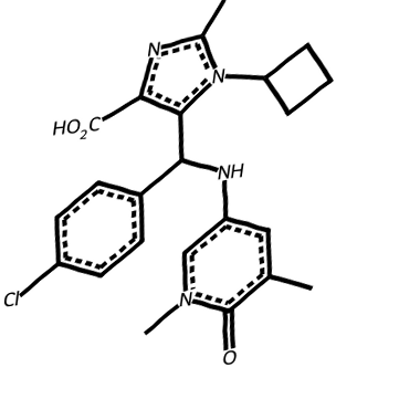 Cc1cc(NC(c2ccc(Cl)cc2)c2c(C(=O)O)nc(Br)n2C2CCC2)cn(C)c1=O